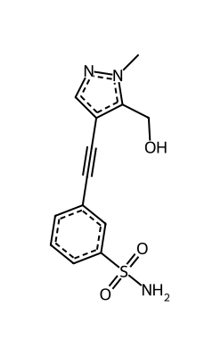 Cn1ncc(C#Cc2cccc(S(N)(=O)=O)c2)c1CO